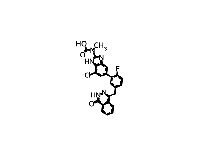 CN(C(=O)O)c1nc2cc(-c3cc(Cc4n[nH]c(=O)c5ccccc45)ccc3F)cc(Cl)c2[nH]1